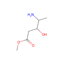 COC(=O)CC(O)C(C)N